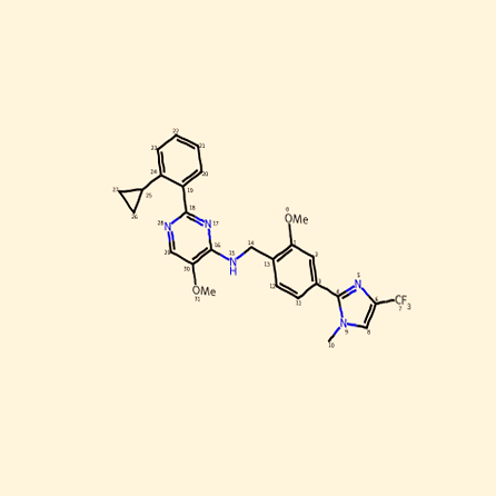 COc1cc(-c2nc(C(F)(F)F)cn2C)ccc1CNc1nc(-c2ccccc2C2CC2)ncc1OC